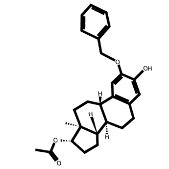 CC(=O)O[C@H]1CC[C@H]2[C@@H]3CCc4cc(O)c(OCc5ccccc5)cc4[C@H]3CC[C@]12C